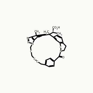 Cc1c2ccc3c1nnn3CCCCCCc1ccc(cc1)C(=O)N1CCc3ccc(cc3C1)[C@]2(C)[C@H](C)C(=O)O